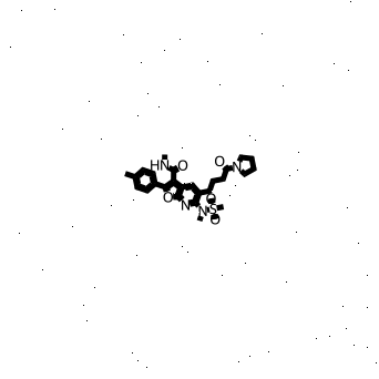 CNC(=O)c1c(-c2ccc(C)cc2)oc2nc(N(C)S(C)(=O)=O)c(CCCC(=O)N3CCCC3)cc12